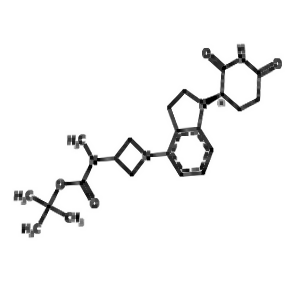 CN(C(=O)OC(C)(C)C)C1CN(c2cccc3c2CCN3[C@@H]2CCC(=O)NC2=O)C1